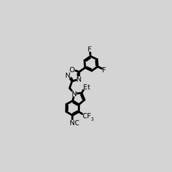 [C-]#[N+]c1ccc2c(cc(CC)n2Cc2noc(-c3cc(F)cc(F)c3)n2)c1C(F)(F)F